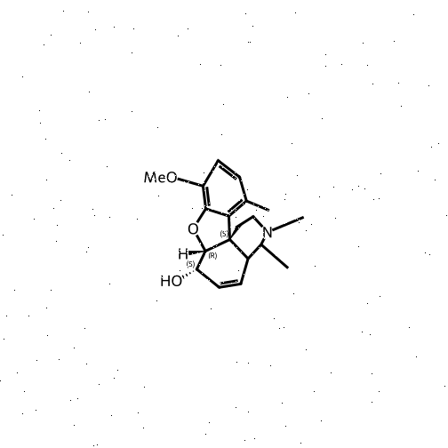 COc1ccc(C)c2c1O[C@H]1[C@@H](O)C=CC3C(C)N(C)CC[C@@]231